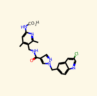 Cc1cc(NC(=O)O)nc(C)c1CNC(=O)c1cnn(Cc2ccc3ncc(Cl)cc3c2)c1